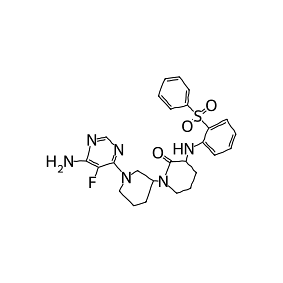 Nc1ncnc(N2CCCC(N3CCCC(Nc4ccccc4S(=O)(=O)c4ccccc4)C3=O)C2)c1F